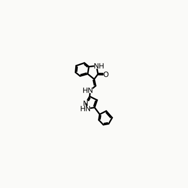 O=C1Nc2ccccc2/C1=C\Nc1cc(-c2ccccc2)[nH]n1